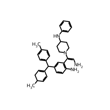 Cc1ccc(C(C2=CCC(C)C=C2)c2ccc(N)c(/C(=C\N)N3CCC(Nc4ccccc4)CC3)c2)cc1